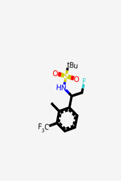 Cc1c(C(CF)NS(=O)(=O)C(C)(C)C)cccc1C(F)(F)F